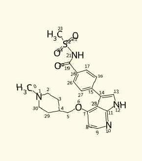 CN1CCC(COc2ccnc3[nH]cc(-c4ccc(C(=O)NS(C)(=O)=O)cc4)c23)CC1